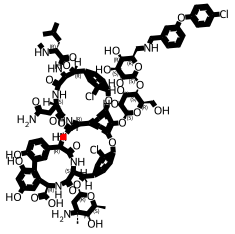 CN[C@H](CC(C)C)C(=O)NC1C(=O)N[C@@H](CC(N)=O)C(=O)N[C@H]2C(=O)N[C@H]3C(=O)N[C@H](C(=O)N[C@@H](C(=O)O)c4cc(O)cc(O)c4-c4cc3ccc4O)[C@H](O[C@H]3C[C@](C)(N)[C@@H](O)[C@H](C)O3)c3ccc(c(Cl)c3)Oc3cc2cc(c3O[C@@H]2O[C@H](CO)[C@@H](O[C@@H]3O[C@H](CNCc4cccc(Oc5ccc(Cl)cc5)c4)[C@H](O)[C@H](O)[C@H]3O)[C@H](O)[C@H]2O)Oc2ccc(cc2Cl)[C@H]1O